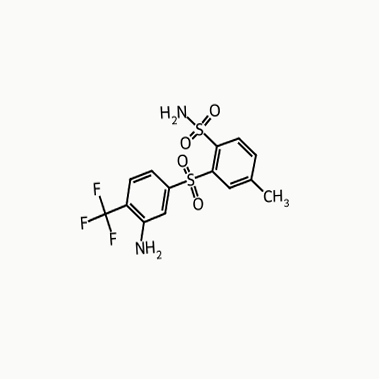 Cc1ccc(S(N)(=O)=O)c(S(=O)(=O)c2ccc(C(F)(F)F)c(N)c2)c1